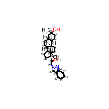 CC1(O)CC[C@H]2[C@H](CC[C@@H]3[C@@H]2CC[C@]2(C)[C@@H](C(=O)Cn4cc5ccccc5n4)CC[C@@H]32)C1